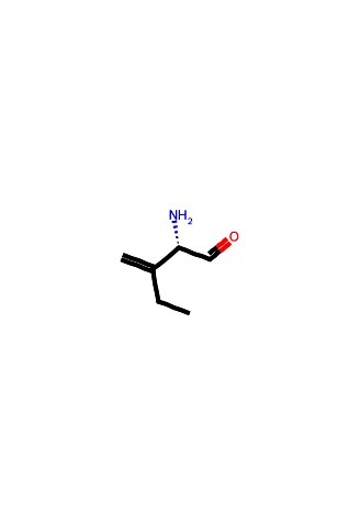 C=C(CC)[C@H](N)C=O